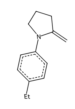 C=C1CCCN1c1ccc(CC)cc1